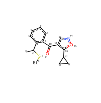 CCSC(C)c1ccccc1C(=O)c1cnoc1C1CC1